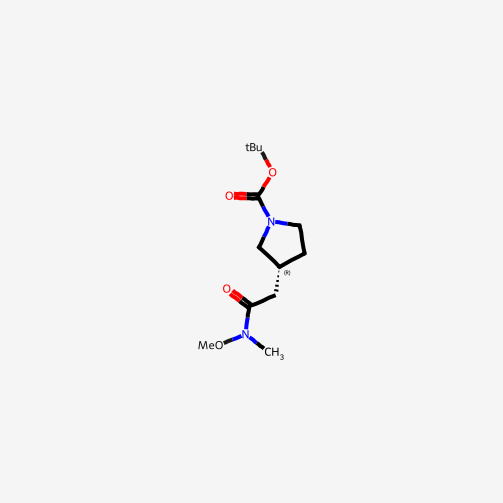 CON(C)C(=O)C[C@H]1CCN(C(=O)OC(C)(C)C)C1